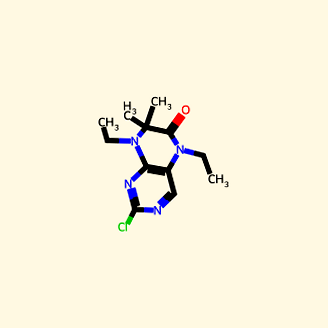 CCN1C(=O)C(C)(C)N(CC)c2nc(Cl)ncc21